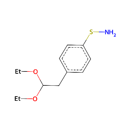 CCOC(Cc1ccc(SN)cc1)OCC